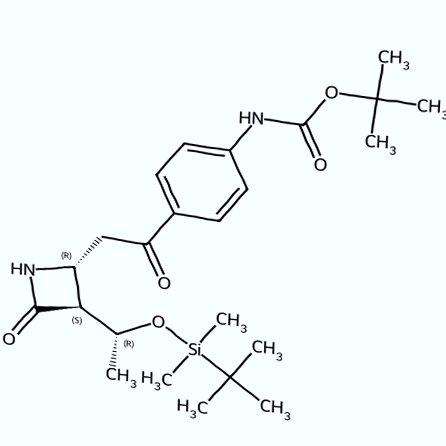 C[C@@H](O[Si](C)(C)C(C)(C)C)[C@H]1C(=O)N[C@@H]1CC(=O)c1ccc(NC(=O)OC(C)(C)C)cc1